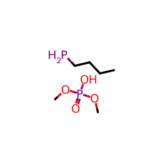 CCCCP.COP(=O)(O)OC